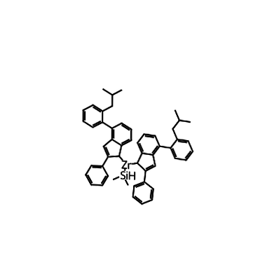 CC(C)Cc1ccccc1-c1cccc2c1C=C(c1ccccc1)[CH]2[Zr]([CH]1C(c2ccccc2)=Cc2c(-c3ccccc3CC(C)C)cccc21)[SiH](C)C